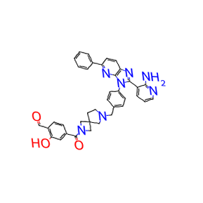 Nc1ncccc1-c1nc2ccc(-c3ccccc3)nc2n1-c1ccc(CN2CCC3(C2)CN(C(=O)c2ccc(C=O)c(O)c2)C3)cc1